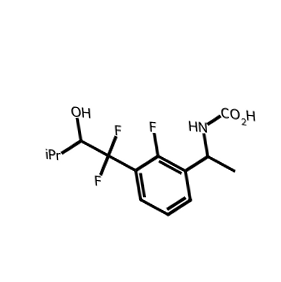 CC(NC(=O)O)c1cccc(C(F)(F)C(O)C(C)C)c1F